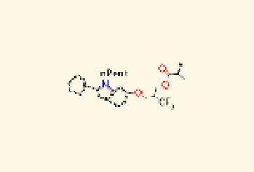 C=C(C)C(=O)OCC(COc1ccc2cc(-c3ccccc3)n(CCCCC)c2c1)C(F)(F)F